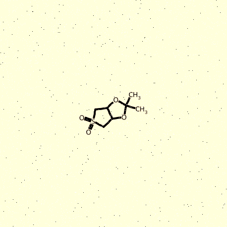 CC1(C)OC2CS(=O)(=O)CC2O1